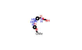 COCCOc1ccc2nc(Nc3nc4cc(C(=O)NOCCO)ccc4[nH]3)oc2c1